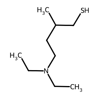 CCN(CC)CCC(C)CS